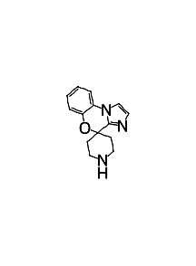 c1ccc2c(c1)OC1(CCNCC1)c1nccn1-2